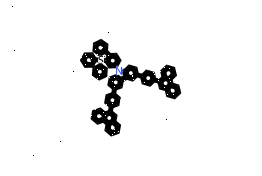 c1ccc([Si]2(c3ccccc3)c3ccccc3-c3ccc(-n4c5ccc(-c6ccc(-c7cc8ccccc8c8ccccc78)cc6)cc5c5cc(-c6ccc(-c7cc8ccccc8c8ccccc78)cc6)ccc54)cc32)cc1